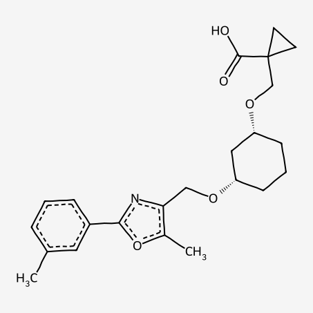 Cc1cccc(-c2nc(CO[C@H]3CCC[C@@H](OCC4(C(=O)O)CC4)C3)c(C)o2)c1